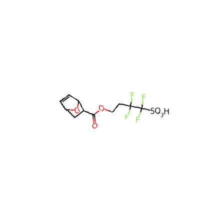 O=C(OCCC(F)(F)C(F)(F)S(=O)(=O)O)C1CC2C=CC1O2